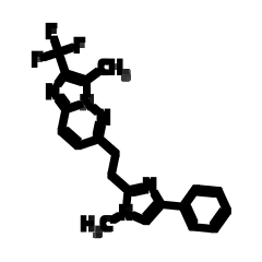 Cc1c(C(F)(F)F)nc2ccc(CCc3nc(-c4ccccc4)cn3C)nn12